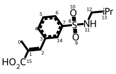 CC(=Cc1cccc(S(=O)(=O)NCC(C)C)c1)C(=O)O